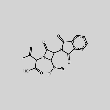 C=C(C)C(C(=O)O)N1C(=O)C(N2C(=O)c3ccccc3C2=O)C1[S+]([O-])Br